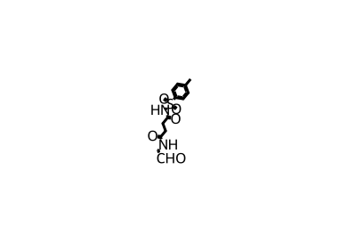 Cc1ccc(S(=O)(=O)NC(=O)CCC(=O)NCC=O)cc1